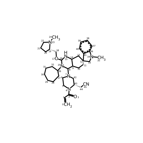 C=CC(=O)N1CCN(C2C3CC[C@@]4(CC3NC(OC[C@@H]3CCCN3C)N2C2CCCCCC2)CN(C)c2ccccc24)C[C@@H]1CC#N